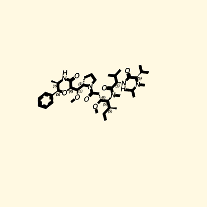 CC[C@H](C)[C@@H]([C@@H](CC(=O)N1CCC[C@H]1[C@H](OC)[C@H]1O[C@@H](c2ccccc2)[C@@H](C)NC1=O)OC)N(C)C(=O)[C@@H](NC(=O)[C@H](C(C)C)N(C)C(C)C)C(C)C